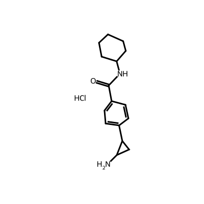 Cl.NC1CC1c1ccc(C(=O)NC2CCCCC2)cc1